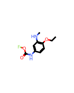 CCOc1ccc(NC(=O)OF)cc1NC